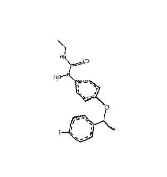 CCNC(=O)N(O)c1ccc(OC(C)c2ccc(F)cc2)cc1